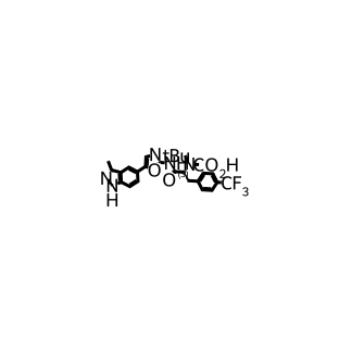 Cc1n[nH]c2ccc(-c3cnc(NC(=O)[C@H](Cc4ccc(C(F)(F)F)cc4)N(C(=O)O)C(C)(C)C)o3)cc12